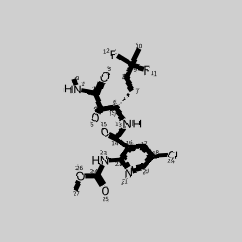 CNC(=O)C(=O)[C@H](CCC(C)(F)F)NC(=O)c1cc(Cl)cnc1NC(=O)OC